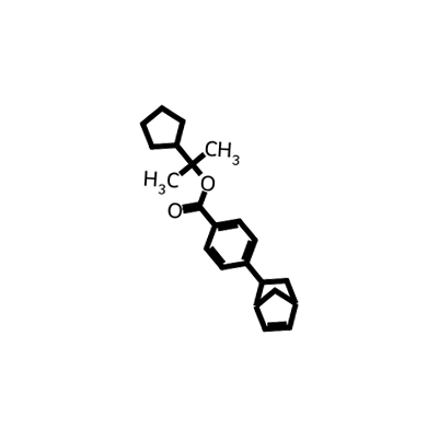 CC(C)(OC(=O)c1ccc(C2CC3C=CC2C3)cc1)C1CCCC1